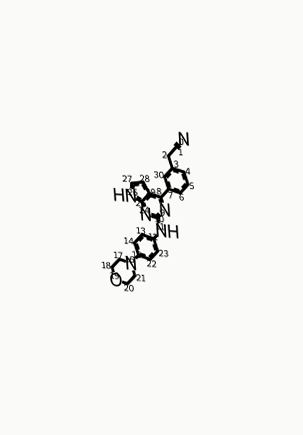 N#CCc1cccc(-c2nc(Nc3ccc(N4CCOCC4)cc3)nc3[nH]ccc23)c1